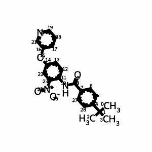 CC(C)(C)c1ccc(C(=O)Nc2ccc(Oc3cccnc3)cc2[N+](=O)[O-])cc1